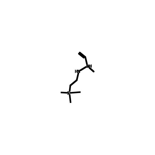 C=C[SiH](C)NCC[Si](C)(C)C